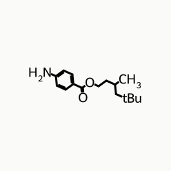 CC(CCOC(=O)c1ccc(N)cc1)CC(C)(C)C